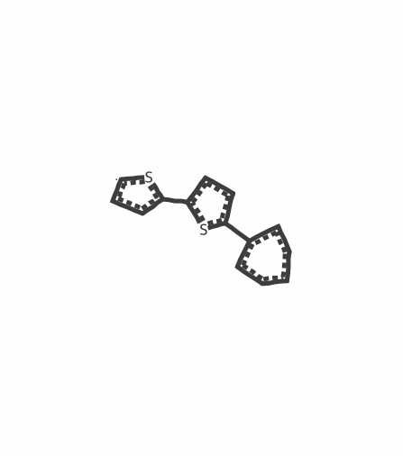 [c]1ccc(-c2ccc(-c3ccccc3)s2)s1